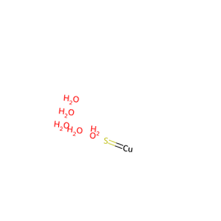 O.O.O.O.O.[S]=[Cu]